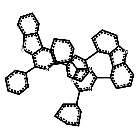 c1ccc(-c2nc(-c3ccccc3)nc(-c3cccc4oc5cccc(-c6cccc(-c7nc(-c8ccccc8)c8oc9ccccc9c8n7)c6)c5c34)n2)cc1